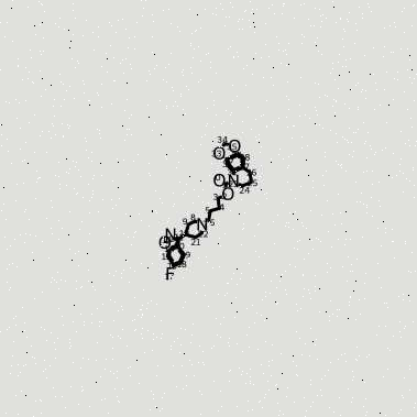 O=C(OCCCCN1CCC(c2noc3cc(F)ccc23)CC1)N1CCCc2cc3c(cc21)OCO3